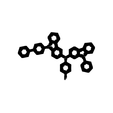 Fc1ccc(N(c2ccc3c(c2)c2ccccc2n3-c2ccc(-c3ccccc3)cc2)c2ccc3c4ccccc4n(-c4ccccc4)c3c2)cc1